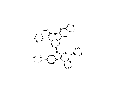 c1ccc(-c2ccc3c4c5ccccc5c(-c5ccccc5)cc4n(-c4cc5c6nc7ccccc7nc6n6c7ccc8ccccc8c7c(c4)c56)c3c2)cc1